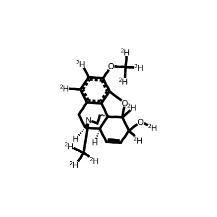 [2H]OC1([2H])C=C[C@H]2[C@H]3Cc4c([2H])c([2H])c(OC([2H])([2H])[2H])c5c4[C@@]2(CCN3C([2H])([2H])[2H])C1([2H])O5